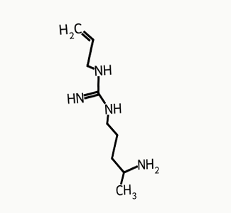 C=CCNC(=N)NCCCC(C)N